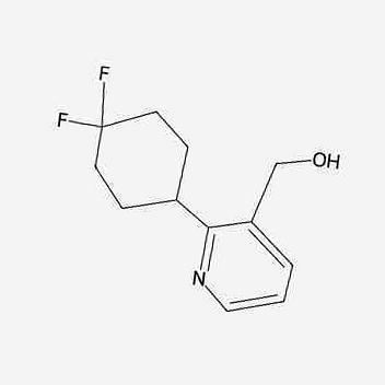 OCc1cccnc1C1CCC(F)(F)CC1